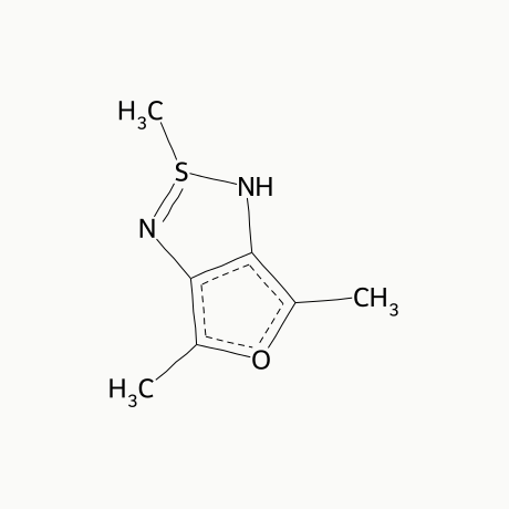 Cc1oc(C)c2c1N=S(C)N2